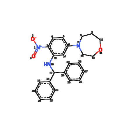 O=[N+]([O-])c1ccc(N2CCCOCC2)cc1NC(c1ccccc1)c1ccccc1